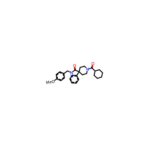 COc1ccc(CNC(=O)C2(c3ccccc3)CCN(C(=O)C3CCCCC3)CC2)cc1